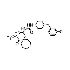 CN1NC(NC(=O)N[C@H]2CC[C@@H](Cc3cccc(Cl)c3)CC2)CC2(CCCCCC2)C1=O